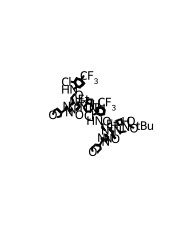 CCc1c(N2CCN(C(=O)OC(C)(C)C)[C@@H]3CC[C@H]32)c(=O)n2nc(C3=CCOCC3)nc2n1CC(=O)Nc1ccc(C(F)(F)F)cc1Cl.CCc1c(N2CCN[C@@H]3CC[C@H]32)c(=O)n2nc(C3=CCOCC3)nc2n1CC(=O)Nc1ccc(C(F)(F)F)cc1Cl